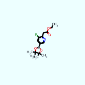 CCOC(=O)Cc1ncc(B2OC(C)(C)C(C)(C)O2)cc1F